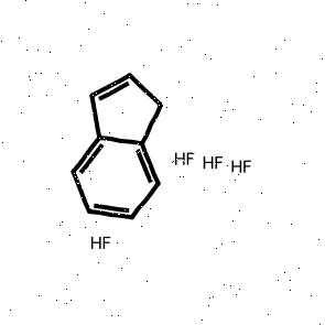 C1=Cc2ccccc2C1.F.F.F.F